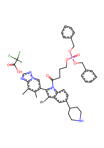 Cc1c(-c2c(C(C)C)c3cc(C4CCNCC4)ccc3n2C(=O)CCCOP(=O)(OCc2ccccc2)OCc2ccccc2)cn2ncnc2c1C.O=C(O)C(F)(F)F